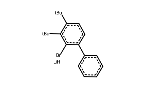 CC(C)(C)c1ccc(-c2ccccc2)c(Br)c1C(C)(C)C.[LiH]